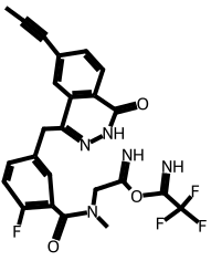 CC#Cc1ccc2c(=O)[nH]nc(Cc3ccc(F)c(C(=O)N(C)CC(=N)OC(=N)C(F)(F)F)c3)c2c1